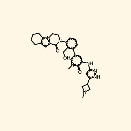 CN1CC(c2cc(Nc3cc(-c4cccc(N5CCn6c(cc7c6CCCC7)C5=O)c4CO)cn(C)c3=O)n[nH]2)C1